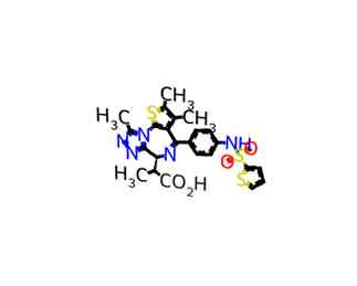 Cc1sc2c(c1C)C(c1ccc(NS(=O)(=O)c3cccs3)cc1)=N[C@@H](C(C)C(=O)O)c1nnc(C)n1-2